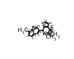 Cc1ccc2cc(C3=NC(C)(C)C(F)(F)c4ccsc43)cnn12